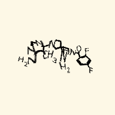 Cc1c(N)ncnc1N1CCC(N)(CNC(=O)c2ccc(F)cc2F)C1